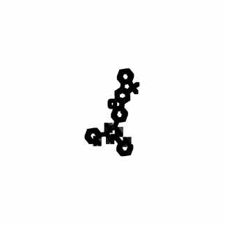 CC1(C)c2ccccc2-c2cc3oc4cc(-c5nc(-c6ccccn6)nc(-c6ccccn6)n5)ccc4c3cc21